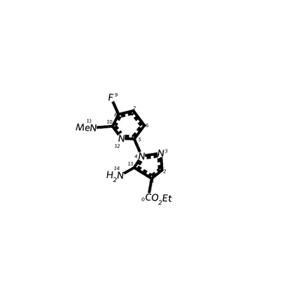 CCOC(=O)c1cnn(-c2ccc(F)c(NC)n2)c1N